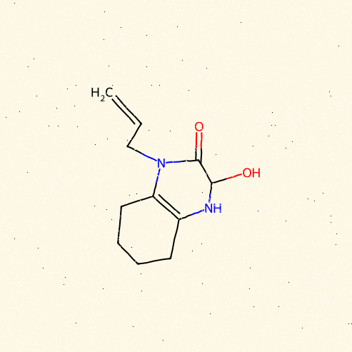 C=CCN1C(=O)C(O)NC2=C1CCCC2